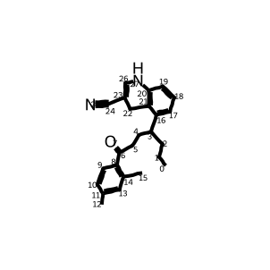 CCCC(CCC(=O)c1ccc(C)cc1C)c1cccc2c1CC(C#N)=CN2